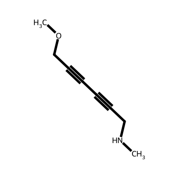 CNCC#CC#CCOC